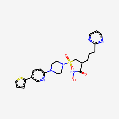 O=C(NO)C(CCCc1ncccn1)CS(=O)(=O)N1CCN(c2ccc(-c3cccs3)cn2)CC1